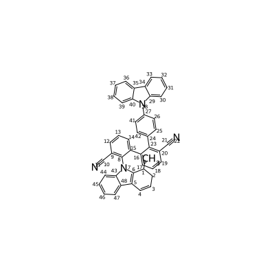 CC1CC=Cc2c1n(-c1c(C#N)cccc1-c1cccc(C#N)c1-c1ccc(-n3c4ccccc4c4ccccc43)cc1)c1ccccc21